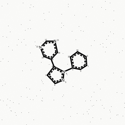 c1ccc(-n2nccc2-c2cncnc2)cc1